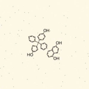 Oc1ccc(C(c2ccccc2)(c2ccccc2)c2ccc(O)cc2)cc1.Oc1ccc2c(O)cccc2c1